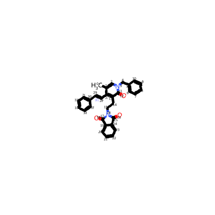 Cc1cn(Cc2ccccc2)c(=O)c(CCN2C(=O)c3ccccc3C2=O)c1/C=C/c1ccccc1